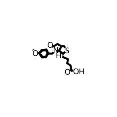 COc1ccc(CN2C(=O)CC3CS[C@@H](CCCCC(=O)O)[C@H]32)cc1